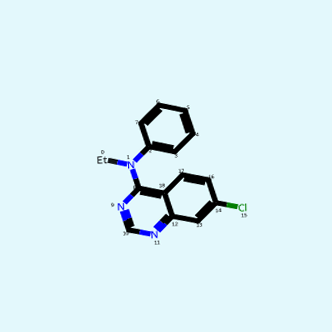 CCN(c1ccccc1)c1ncnc2cc(Cl)ccc12